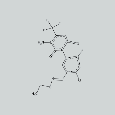 CCON=Cc1cc(-n2c(=O)cc(C(F)(F)F)n(N)c2=O)c(F)cc1Cl